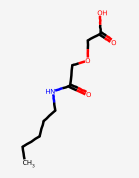 CCCCCNC(=O)COCC(=O)O